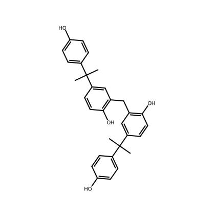 CC(C)(c1ccc(O)cc1)c1ccc(O)c(Cc2cc(C(C)(C)c3ccc(O)cc3)ccc2O)c1